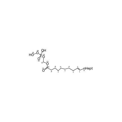 CCCCCCCC=CCCCCCCCC(=O)OCOP(=O)(O)OO